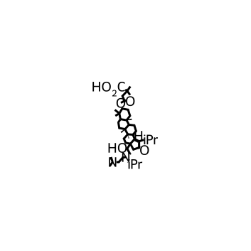 CC(C)C1=C2[C@H]3CCC4[C@@]5(C)CC[C@H](OC(=O)CC(C)(C)C(=O)O)C(C)(C)C5CC[C@@]4(C)[C@]3(C)CCC2([C@H](O)CN(CCN(C)C)C(C)C)CC1=O